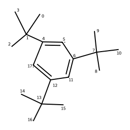 CC(C)(C)c1[c]c(C(C)(C)C)cc(C(C)(C)C)[c]1